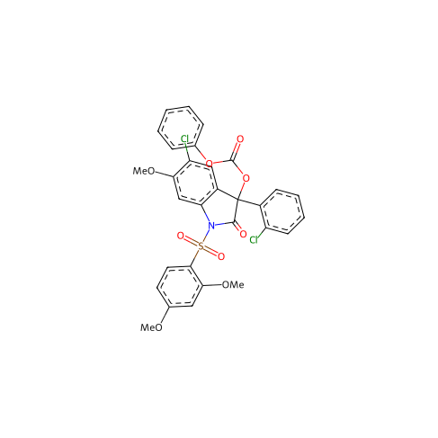 COc1ccc(S(=O)(=O)N2C(=O)C(OC(=O)Oc3ccccc3)(c3ccccc3Cl)c3cc(Cl)c(OC)cc32)c(OC)c1